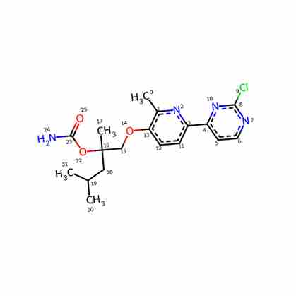 Cc1nc(-c2ccnc(Cl)n2)ccc1OCC(C)(CC(C)C)OC(N)=O